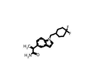 C=C(C(N)=O)c1ccc2c(ccn2CC2CCC(F)(F)CC2)c1